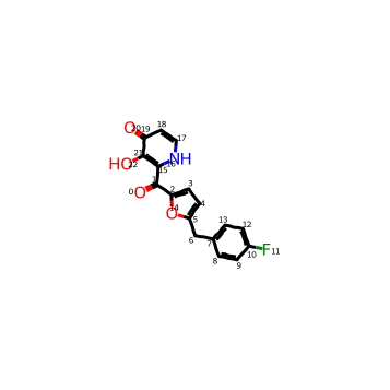 O=C(c1ccc(Cc2ccc(F)cc2)o1)c1[nH]ccc(=O)c1O